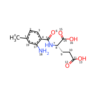 Cc1ccc(C(=O)N[C@@H](CCC(=O)O)C(=O)O)c(N)c1